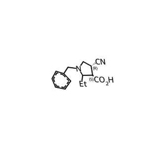 CCC1[C@@H](C(=O)O)[C@@H](C#N)CN1Cc1ccccc1